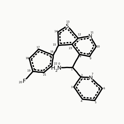 NC(c1ccccn1)c1ccnc2scc(-c3ccc(F)cc3)c12